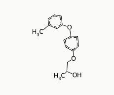 Cc1cccc(Oc2ccc(OCC(C)O)cc2)c1